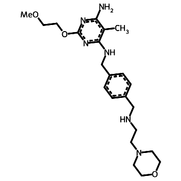 COCCOc1nc(N)c(C)c(NCc2ccc(CNCCN3CCOCC3)cc2)n1